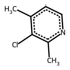 Cc1[c]cnc(C)c1Cl